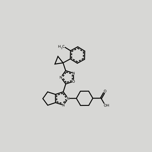 Cc1ccccc1C1(c2noc(-c3c4c(nn3C3CCC(C(=O)O)CC3)CCC4)n2)CC1